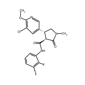 COc1ncc([C@@H]2CN(C)C(=O)[C@H]2C(=O)Nc2cccc(F)c2F)cc1Cl